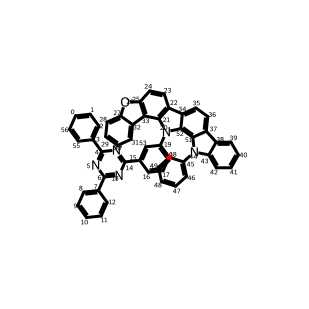 c1ccc(-c2nc(-c3ccccc3)nc(-c3cccc(-n4c5c(ccc6oc7ccccc7c65)c5ccc6c7ccccc7n(-c7ccccc7)c6c54)c3)n2)cc1